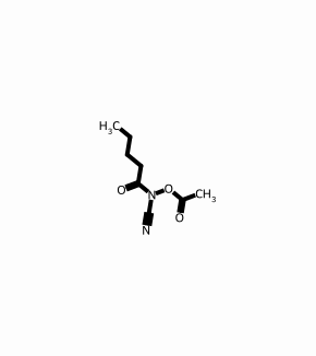 CCCCC(=O)N(C#N)OC(C)=O